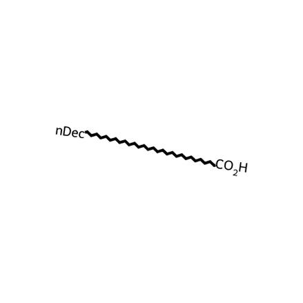 CCCCCCCCCCCCCCCCCCCCCCCCCCCCCCCCCCCCCCC(=O)O